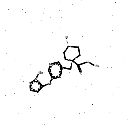 CC(C)(C)OC(=O)[C@]1(Cc2cncc(Nc3ccnn3C(C)(C)C)n2)CC[C@H](O)CC1